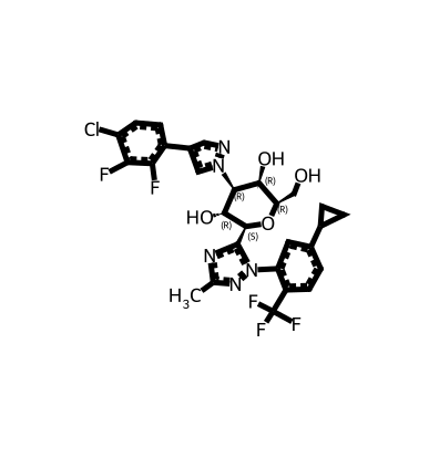 Cc1nc([C@@H]2O[C@H](CO)[C@H](O)[C@H](n3cc(-c4ccc(Cl)c(F)c4F)cn3)[C@H]2O)n(-c2cc(C3CC3)ccc2C(F)(F)F)n1